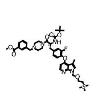 COC(=O)c1cccc(CN2CCN(C(=O)[C@H](Cc3ccc(Oc4ccnc5c4c(C)cn5COCCS(C)(C)C)c(F)c3)NC(=O)OC(C)(C)C)CC2)c1